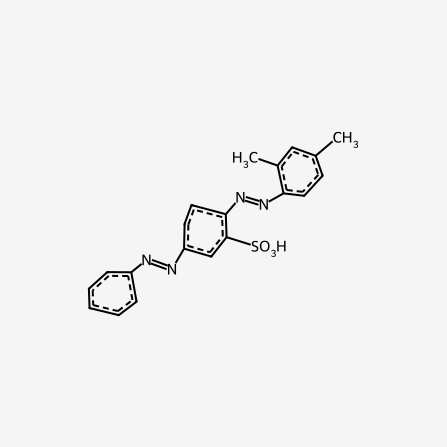 Cc1ccc(N=Nc2ccc(N=Nc3ccccc3)cc2S(=O)(=O)O)c(C)c1